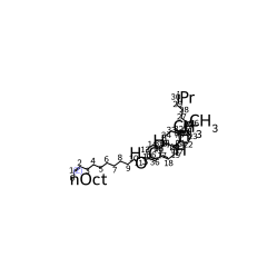 CCCCCCCC/C=C\CCCCCCCCOC1CC[C@@]2(C)C(=CC[C@H]3[C@@H]4CC[C@H]([C@H](C)CCCC(C)C)[C@@]4(C)CC[C@@H]32)C1